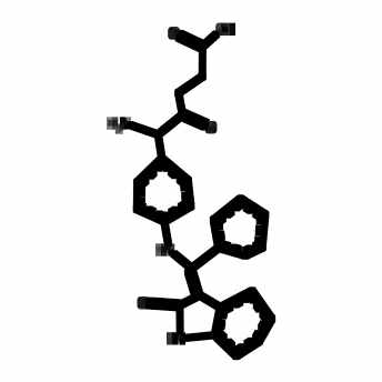 NC(C(=O)CCC(=O)O)c1ccc(N/C(=C2\C(=O)Nc3ccccc32)c2ccccc2)cc1